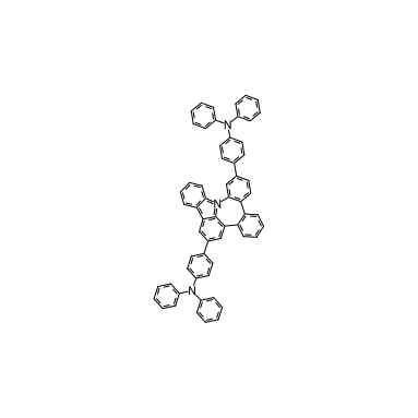 c1ccc(N(c2ccccc2)c2ccc(-c3ccc4c(c3)-n3c5ccccc5c5cc(-c6ccc(N(c7ccccc7)c7ccccc7)cc6)cc(c53)-c3ccccc3-4)cc2)cc1